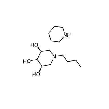 C1CCNCC1.CCCCN1C[C@@H](O)C(O)[C@@H](O)C1